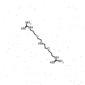 N=C(N)NCCCOCCNCCOCCCNC(=N)N